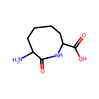 NC1CCCCC(C(=O)O)NC1=O